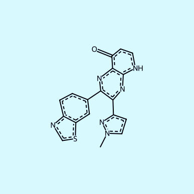 Cn1ccc(-c2nc3[nH]ccc(=O)c3nc2-c2ccc3ncsc3c2)n1